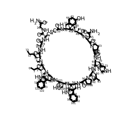 CCCC[C@H]1C(=O)N(C)[C@@H](CCCC)C(=O)N[C@@H](C)C(=O)N[C@H](C(=O)NCC(N)=O)CSCC(=O)N[C@@H](Cc2ccc(O)cc2)C(=O)N(C)[C@@H](C)C(=O)N[C@@H](CC(N)=O)C(=O)N2CCC[C@H]2C(=O)N[C@@H](Cc2c[nH]cn2)C(=O)N[C@@H](CC(C)C)C(=O)N2CCCC2C(=O)N[C@@H](Cc2c[nH]c3ccccc23)C(=O)N[C@@H](CO)C(=O)N[C@@H](Cc2c[nH]c3ccccc23)C(=O)N1C